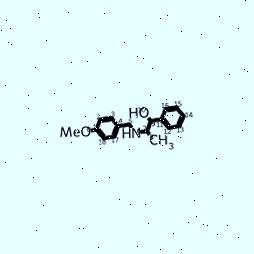 COc1ccc(CNC(C)C(O)c2ccccc2)cc1